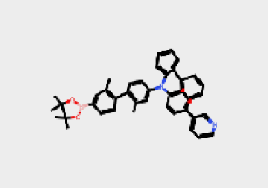 Cc1cc(B2OC(C)(C)C(C)(C)O2)ccc1-c1ccc(N(c2ccc(-c3cccnc3)cc2)c2ccccc2-c2ccccc2)cc1C